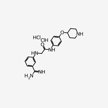 Cl.Cl.N=C(N)c1cccc(NCC(=O)Nc2ccc(OC3CCNCC3)cc2)c1